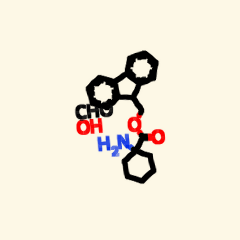 NC1(C(=O)OCC2c3ccccc3-c3ccccc32)CCCCC1.O=CO